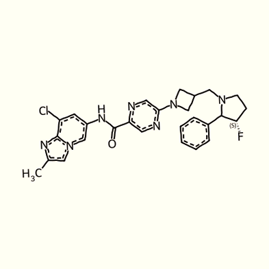 Cc1cn2cc(NC(=O)c3cnc(N4CC(CN5CC[C@H](F)C5c5ccccc5)C4)cn3)cc(Cl)c2n1